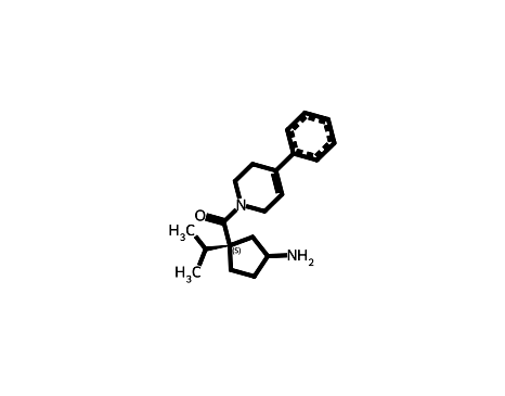 CC(C)[C@]1(C(=O)N2CC=C(c3ccccc3)CC2)CCC(N)C1